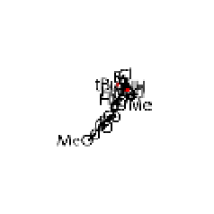 COCCOCCOC(=O)OCOC(=O)c1ccc(NC(=O)[C@@H]2N[C@@H](CC(C)(C)C)[C@@]3(C(=O)Nc4cc(Cl)c(F)cc43)[C@@H]2c2cccc(Cl)c2)c(OC)c1